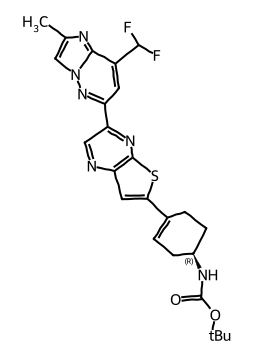 Cc1cn2nc(-c3cnc4cc(C5=CC[C@H](NC(=O)OC(C)(C)C)CC5)sc4n3)cc(C(F)F)c2n1